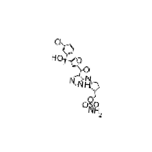 CC(O)(c1cccc(Cl)c1)c1coc(C(=O)c2cncnc2N[C@H]2CC[C@@H](COS(N)(=O)=O)C2)c1